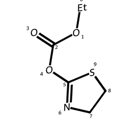 CCOC(=O)OC1=NCCS1